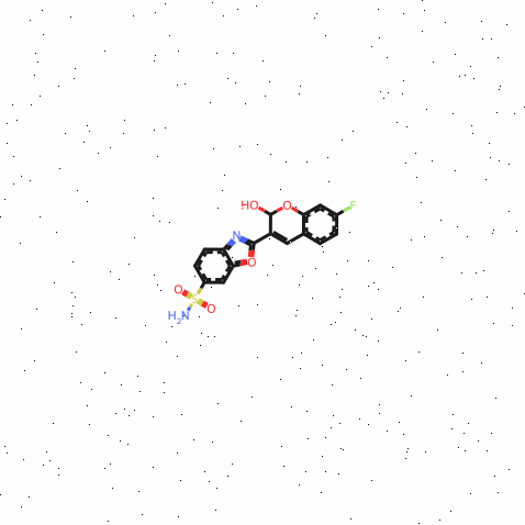 NS(=O)(=O)c1ccc2nc(C3=Cc4ccc(F)cc4OC3O)oc2c1